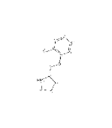 Brc1ccncc1OC[C@@H]1CCCN1